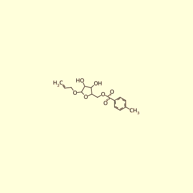 C=CCOC1OC(COS(=O)(=O)c2ccc(C)cc2)C(O)C1O